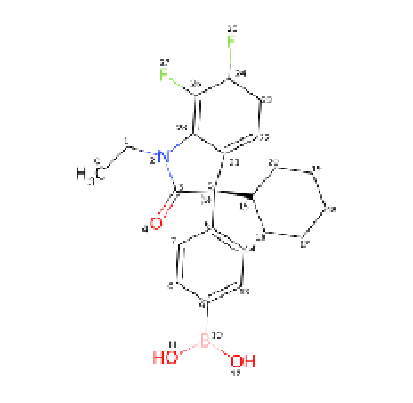 CCN1C(=O)[C@](c2ccc(B(O)O)cc2)(C2CCCCC2)C2=CCC(F)C(F)=C21